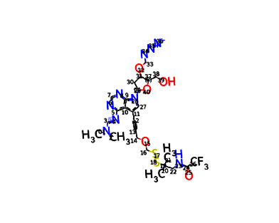 CN(C)/C=N/c1ncnc2c1c(C#CCOCSSC(C)(C)CNC(=O)C(F)(F)F)cn2[C@H]1CC(OCN=[N+]=[N-])[C@@H](CO)O1